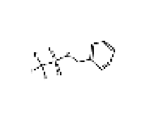 O=S(=O)(OCc1ccccc1)C(F)(F)F